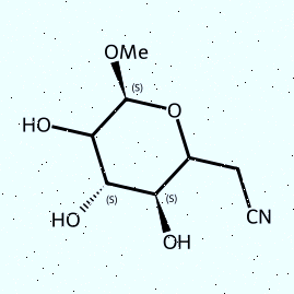 CO[C@H]1OC(CC#N)[C@@H](O)[C@H](O)C1O